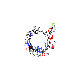 CC(C)[C@@H]1OC(=O)[C@@](C)(COC(F)F)/C=C/c2ccc3ccc(nc3c2)[C@@H](C)NC(=O)[C@@H]2CCCN(N2)C(=O)[C@H](C)NC1=O